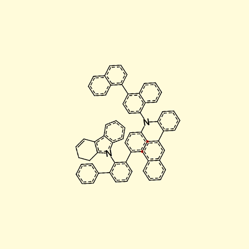 C1=Cc2c(n(-c3c(-c4ccccc4)cccc3-c3ccc(N(c4ccccc4-c4ccc5ccccc5c4)c4ccc(-c5cccc6ccccc56)c5ccccc45)cc3)c3ccccc23)CC1